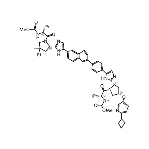 CCC1(C)C[C@@H](c2ncc(-c3ccc4cc(-c5ccc(-c6cnc([C@@H]7C[C@H](Oc8cnc(C9CCC9)cn8)CN7C(=O)[C@@H](NC(=O)OC)C(C)C)[nH]6)cc5)ccc4c3)[nH]2)N(C(=O)[C@@H](NC(=O)OC)C(C)C)C1